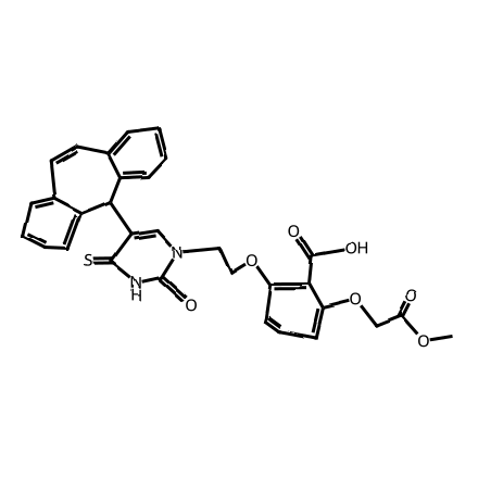 COC(=O)COc1cccc(OCCn2cc(C3c4ccccc4C=Cc4ccccc43)c(=S)[nH]c2=O)c1C(=O)O